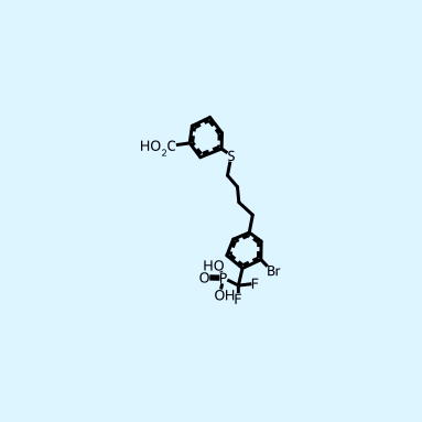 O=C(O)c1cccc(SCCCCc2ccc(C(F)(F)P(=O)(O)O)c(Br)c2)c1